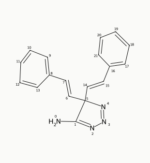 NC1=NN=NC1(C=Cc1ccccc1)C=Cc1ccccc1